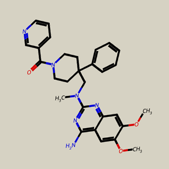 COc1cc2nc(N(C)CC3(c4ccccc4)CCN(C(=O)c4cccnc4)CC3)nc(N)c2cc1OC